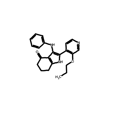 CCCOc1cnccc1-c1[nH]c2c(c1Nc1ccccc1)C(=O)CCC2